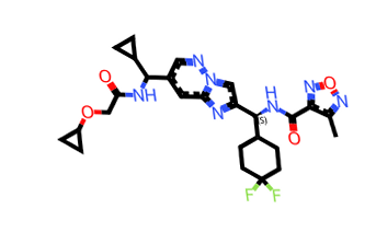 Cc1nonc1C(=O)N[C@H](c1cn2ncc(C(NC(=O)COC3CC3)C3CC3)cc2n1)C1CCC(F)(F)CC1